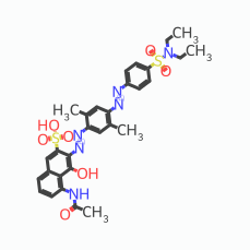 CCN(CC)S(=O)(=O)c1ccc(/N=N/c2cc(C)c(/N=N/c3c(S(=O)(=O)O)cc4cccc(NC(C)=O)c4c3O)cc2C)cc1